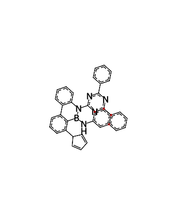 C1=CC(c2cccc3c2B(Nc2ccccc2)N(c2nc(-c4ccccc4)nc(-c4ccccc4)n2)c2ccccc2-3)C=C1